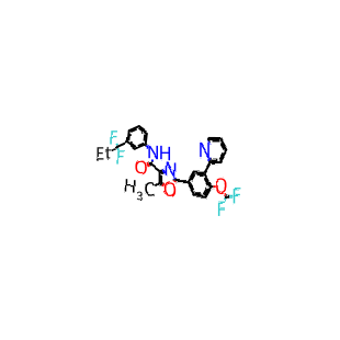 CCC(F)(F)c1cccc(NC(=O)c2nc(-c3ccc(OC(F)F)c(-c4ccccn4)c3)oc2C)c1